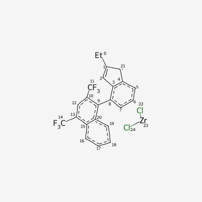 CCC1=Cc2c(cccc2-c2c(C(F)(F)F)cc(C(F)(F)F)c3ccccc23)[CH]1.[Cl][Zr][Cl]